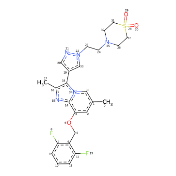 Cc1cc(OCc2c(F)cccc2F)c2nc(C)c(-c3cnn(CCN4CCS(=O)(=O)CC4)c3)n2c1